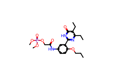 CCCOc1ccc(NC(=O)COP(=O)(OC)OC)cc1-c1nc(CC)c(CC)c(=O)[nH]1